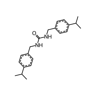 CC(C)c1ccc(CNC(=O)NCc2ccc(C(C)C)cc2)cc1